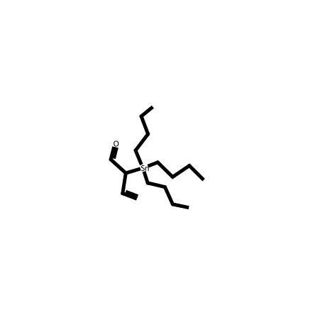 C=C[CH](C=O)[Sn]([CH2]CCC)([CH2]CCC)[CH2]CCC